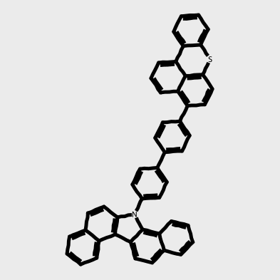 c1ccc2c(c1)Sc1ccc(-c3ccc(-c4ccc(-n5c6ccc7ccccc7c6c6ccc7ccccc7c65)cc4)cc3)c3cccc-2c13